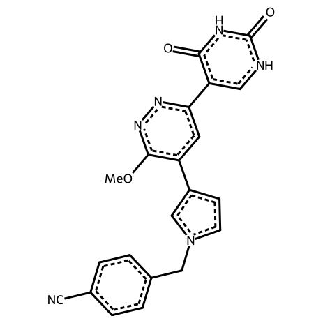 COc1nnc(-c2c[nH]c(=O)[nH]c2=O)cc1-c1ccn(Cc2ccc(C#N)cc2)c1